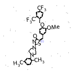 COc1cc(/C=C2/SC(N3CCN(c4cc(C)ccc4C)CC3)=NC2=O)ccc1OCc1ccc(C(F)(F)F)cc1C(F)(F)F